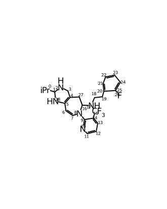 CC(C)C1NCC2=C(C=CN(c3ncccc3C(F)(F)F)C(NCCc3ccccc3F)C2)N1